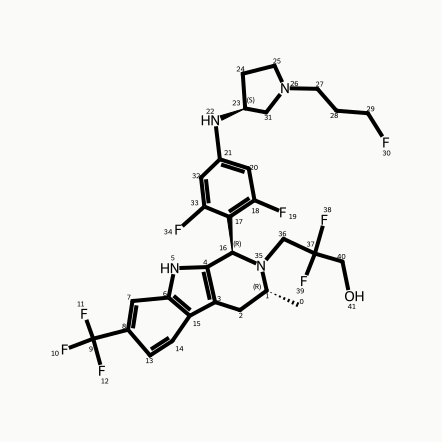 C[C@@H]1Cc2c([nH]c3cc(C(F)(F)F)ccc23)[C@@H](c2c(F)cc(N[C@H]3CCN(CCCF)C3)cc2F)N1CC(F)(F)CO